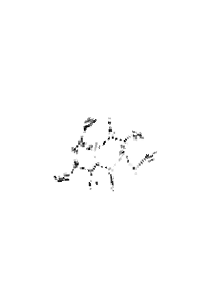 COc1cc(O)c2c(c1O)C(=O)C(CC(C)=O)=C(C)C2=O